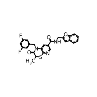 CC1Sc2ncc(C(=O)NCc3cc4ccccc4o3)cc2N(Cc2cc(F)cc(F)c2)C1=O